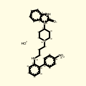 Cl.O=c1[nH]c2ccccc2n1C1CCN(CCCNc2ccccc2-c2ccc([N+](=O)[O-])cc2)CC1